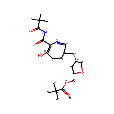 CC(C)(C)C(=O)NC(=O)C1=C(O)CCC(C[C@@H]2CO[C@H](COC(=O)C(C)(C)C)C2)C=N1